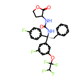 O=C(NC1CCOC1=O)N[C@](Cc1ccccc1)(c1ccc(F)cc1)c1cc(F)cc(OC(F)(F)C(F)F)c1